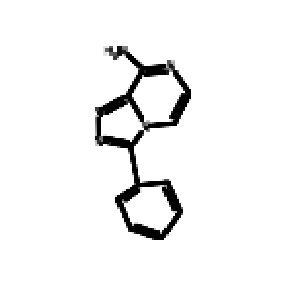 Nc1nccn2c(-c3ccccc3)nnc12